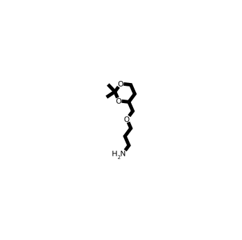 CC1(C)OCCC(COCCCN)O1